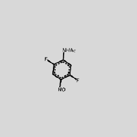 CC(=O)Nc1cc(F)c(N=O)cc1F